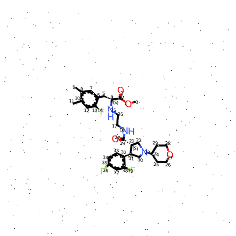 COC(=O)[C@H](Cc1cc(C)c(C)cc1F)NCCNC(=O)[C@@H]1CN(C2CCOCC2)C[C@H]1c1ccc(F)cc1F